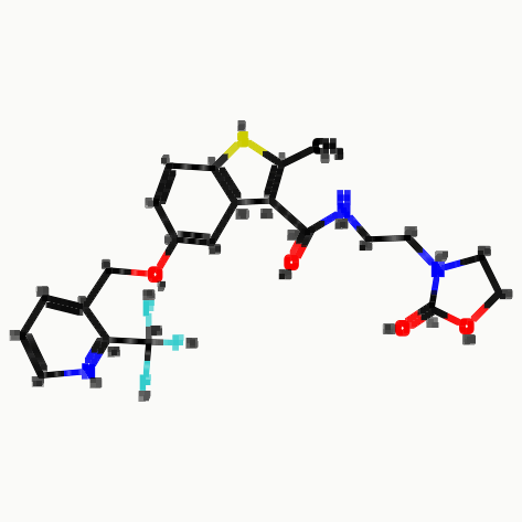 Cc1sc2ccc(OCc3cccnc3C(F)(F)F)cc2c1C(=O)NCCN1CCOC1=O